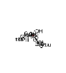 C[C@@H](CC(=O)OC(C)(C)C)C(=O)NCCC(=O)OC1=CC[C@@]2(OC(=O)CCNC(=O)[C@@H](C)CC(=O)OC(C)(C)C)[C@H]3Cc4ccc(O)c5c4[C@@]2(CCN3C)[C@H]1O5